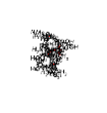 CN[C@H](CC(C)C)C(=O)N[C@H]1C(=O)N[C@@H](CC(N)=O)C(=O)N[C@H]2C(=O)N[C@H]3C(=O)N[C@H](C(=O)N[C@H](C(=O)O)c4cc(O)cc(O)c4-c4cc3ccc4O)[C@H](O[C@H]3CC(C)(N)[C@@H](O)C(C)O3)c3ccc(c(Cl)c3)Oc3cc2cc(c3O[C@@H]2OC(CO)[C@@H](O)C(O)C2O[C@H]2CC(C)(N)[C@@H](O)[C@H](C)O2)Oc2ccc(cc2Cl)[C@H]1O